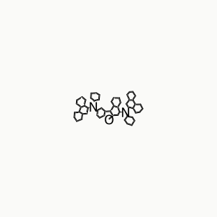 c1ccc(N(c2ccc3oc4cc(N(c5ccccc5)c5cc6ccccc6c6ccccc56)c5ccccc5c4c3c2)c2cc3ccccc3c3ccccc23)cc1